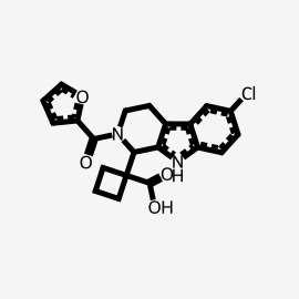 O=C(c1ccco1)N1CCc2c([nH]c3ccc(Cl)cc23)C1C1(C(=O)O)CCC1